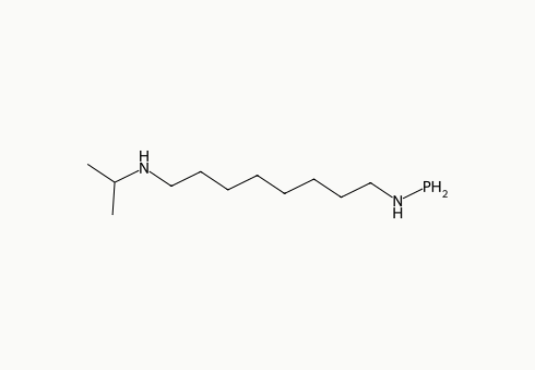 CC(C)NCCCCCCCCNP